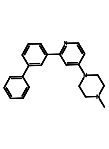 CN1CCN(c2ccnc(-c3cccc(-c4ccccc4)c3)c2)CC1